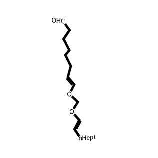 CCCCCCCC=COCOC=CCCCCCC=O